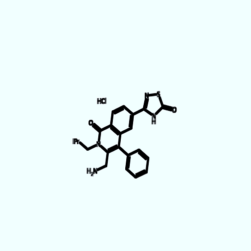 CC(C)Cn1c(CN)c(-c2ccccc2)c2cc(-c3nsc(=O)[nH]3)ccc2c1=O.Cl